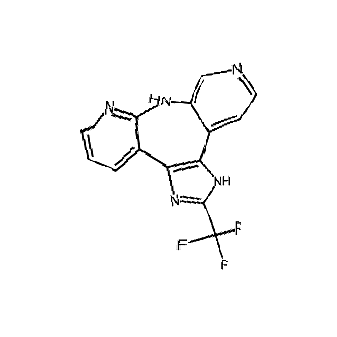 FC(F)(F)c1nc2c([nH]1)-c1ccncc1Nc1ncccc1-2